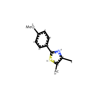 COc1ccc(-c2nc(C)c(C(C)=O)s2)cc1